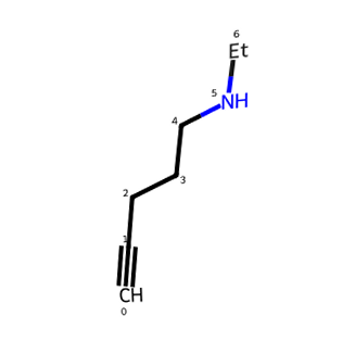 C#CCCCNCC